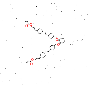 C=CC(=O)OCCC[C@H]1CC[C@H](CCC2CCC(CO[C@@H]3CCCC[C@H]3OC[C@H]3CC[C@H](CC[C@H]4CC[C@H](CCCOC(=O)C=C)CC4)CC3)CC2)CC1